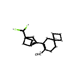 O=CC1=C(C2=C3CC(C(F)F)(C3)C2)CC2(CCC2)CC1